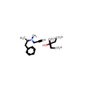 C#CCN(C)[C@H](C)Cc1ccccc1.O=C(O)CC(O)(CC(=O)O)C(=O)O